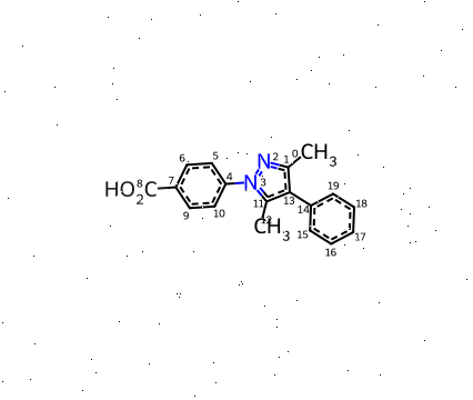 Cc1nn(-c2ccc(C(=O)O)cc2)c(C)c1-c1ccccc1